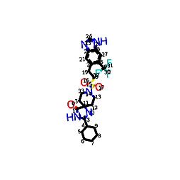 O=C1NC(C2CCCCC2)=NC12CCN(S(=O)(=O)CCc1cc3nc[nH]c3cc1C(F)(F)F)CC2